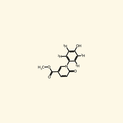 [2H]c1c([2H])c(-n2cc(C(=O)OC)ccc2=O)c([2H])c([2H])c1O